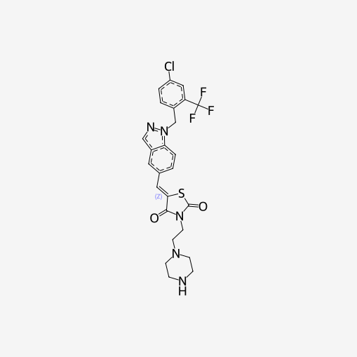 O=C1S/C(=C\c2ccc3c(cnn3Cc3ccc(Cl)cc3C(F)(F)F)c2)C(=O)N1CCN1CCNCC1